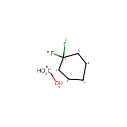 FC1(F)CCCCC1.O=C(O)O